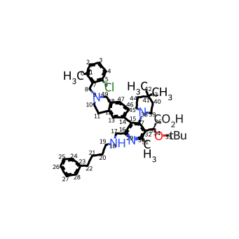 Cc1cccc(Cl)c1CN1CCc2cc(-c3c(CNCCCCc4ccccc4)nc(C)c([C@H](OC(C)(C)C)C(=O)O)c3N3CCC(C)(C)CC3)ccc2C1